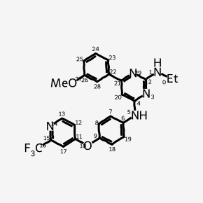 CCNc1nc(Nc2ccc(Oc3ccnc(C(F)(F)F)c3)cc2)cc(-c2cccc(OC)c2)n1